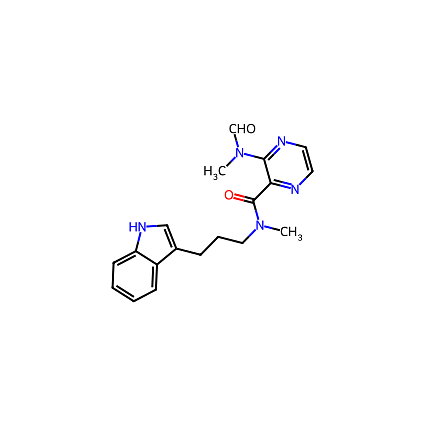 CN(CCCc1c[nH]c2ccccc12)C(=O)c1nccnc1N(C)C=O